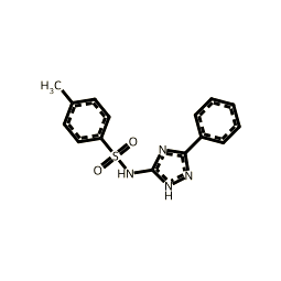 Cc1ccc(S(=O)(=O)Nc2nc(-c3ccccc3)n[nH]2)cc1